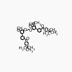 COc1cc(OCCOc2cc(-c3cccc(C(=O)N4CCN(C(C)(C)C)CC4)c3)cc(OC)c2OC)cc(-c2cccc(C(=O)N3CCN(C(C)(C)C)CC3)c2)c1